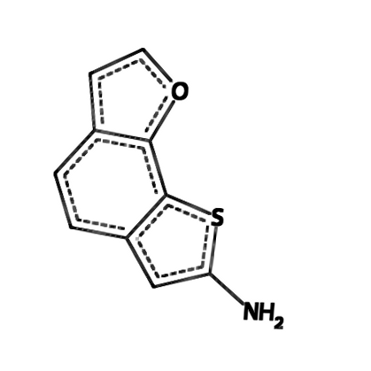 Nc1cc2ccc3ccoc3c2s1